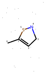 CC1=CC[N]S1